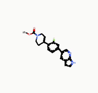 CC(C)(C)OC(=O)N1CC=C(c2ccc(-c3cnc4[nH]ccc4c3)cc2F)CC1